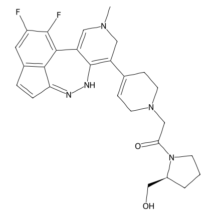 CN1C=C2C(=C(C3=CCN(CC(=O)N4CCC[C@H]4CO)CC3)C1)NN=C1C=Cc3cc(F)c(F)c2c31